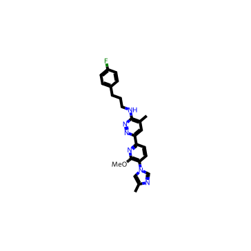 COc1nc(-c2cc(C)c(NCCCc3ccc(F)cc3)nn2)ccc1-n1cnc(C)c1